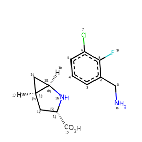 NCc1cccc(Cl)c1F.O=C(O)[C@@H]1C[C@H]2C[C@H]2N1